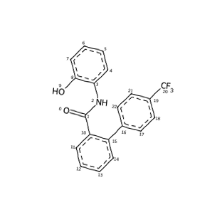 O=C(Nc1ccccc1O)c1ccccc1-c1ccc(C(F)(F)F)cc1